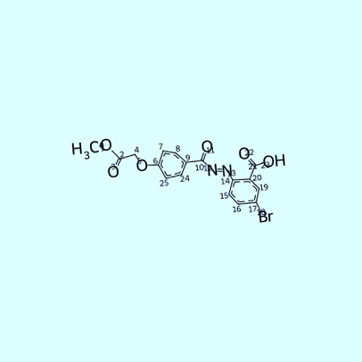 COC(=O)COc1ccc(C(=O)/N=N/c2ccc(Br)cc2C(=O)O)cc1